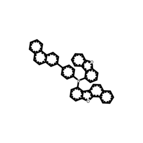 c1ccc2c(c1)ccc1cc(-c3ccc(N(c4cccc5oc6ccccc6c45)c4cccc5oc6c7ccccc7ccc6c45)cc3)ccc12